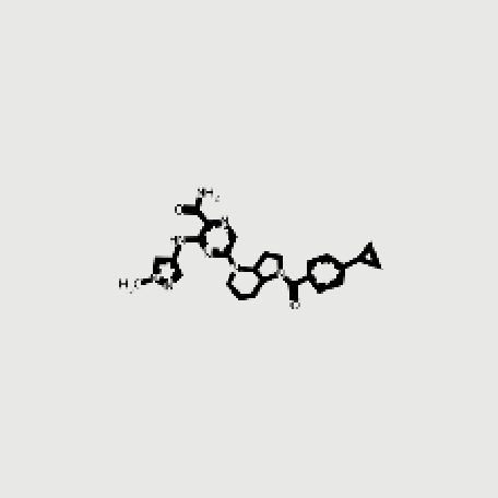 Cn1cc(Nc2nc(N3CCCC4C3CCN4C(=O)c3ccc(C4CC4)cc3)cnc2C(N)=O)cn1